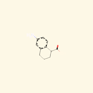 Nc1ccc2c(c1)CCCC2C(=O)O